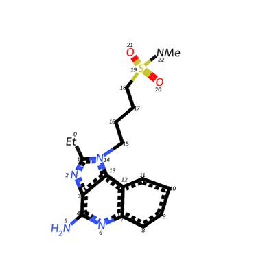 CCc1nc2c(N)nc3ccccc3c2n1CCCCS(=O)(=O)NC